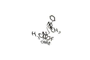 COc1cc2nc(C)nc(CCc3nc(-c4ccccc4)cn3C)c2cc1F